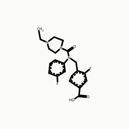 CCN1CCN(C(=O)N(Cc2ccc(C(=O)O)cc2F)c2cccc(F)c2)CC1